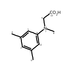 Cc1cc(C)cc(N(C)CC(=O)O)c1